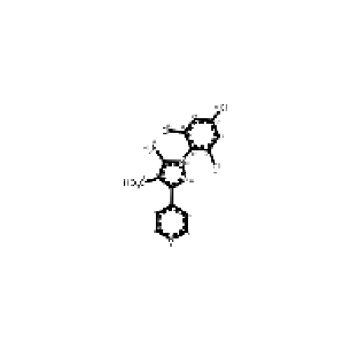 Nc1c(C(=O)O)c(-c2ccncc2)nn1-c1c(Cl)cc(Cl)cc1Cl